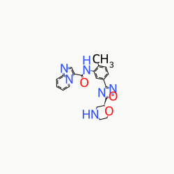 Cc1ccc(-c2noc([C@@H]3CNCCO3)n2)cc1NC(=O)c1cnc2ccccn12